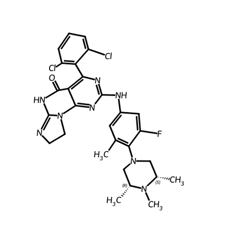 Cc1cc(Nc2nc(-c3c(Cl)cccc3Cl)c3c(n2)N2CCN=C2NC3=O)cc(F)c1N1C[C@@H](C)N(C)[C@@H](C)C1